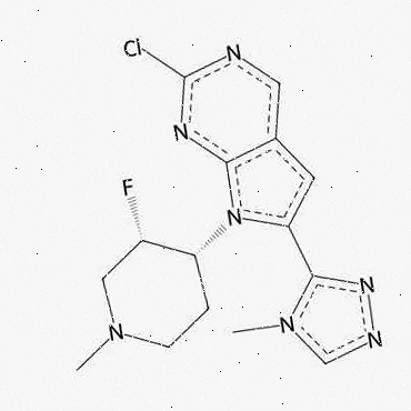 CN1CC[C@@H](n2c(-c3nncn3C)cc3cnc(Cl)nc32)[C@@H](F)C1